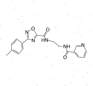 Cc1ccc(-c2noc(C(=O)NCCNC(=O)c3cccnc3)n2)cc1